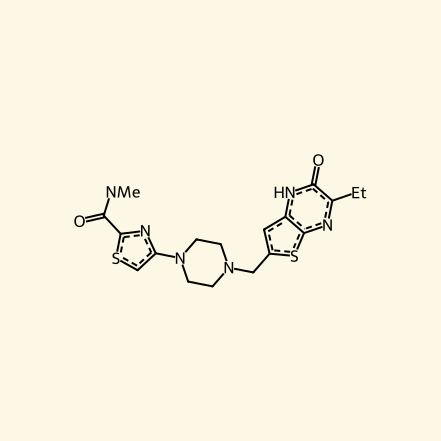 CCc1nc2sc(CN3CCN(c4csc(C(=O)NC)n4)CC3)cc2[nH]c1=O